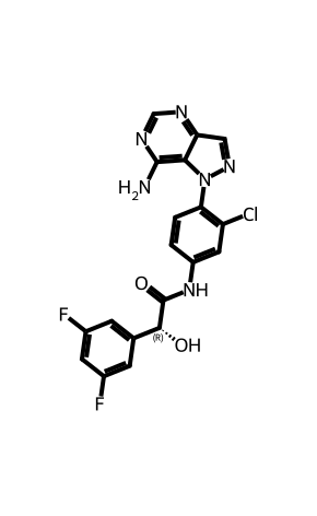 Nc1ncnc2cnn(-c3ccc(NC(=O)[C@H](O)c4cc(F)cc(F)c4)cc3Cl)c12